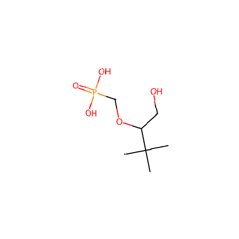 CC(C)(C)C(CO)OCP(=O)(O)O